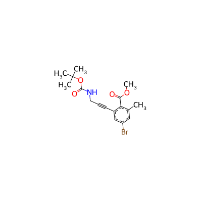 COC(=O)c1c(C)cc(Br)cc1C#CCNC(=O)OC(C)(C)C